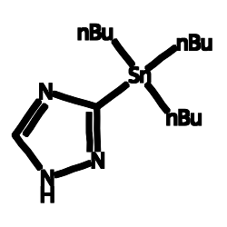 CCC[CH2][Sn]([CH2]CCC)([CH2]CCC)[c]1nc[nH]n1